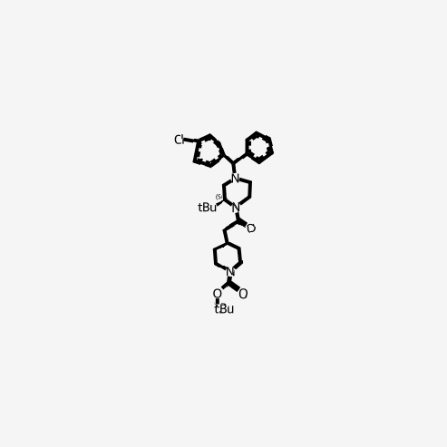 CC(C)(C)OC(=O)N1CCC(CC(=O)N2CCN(C(c3ccccc3)c3ccc(Cl)cc3)C[C@@H]2C(C)(C)C)CC1